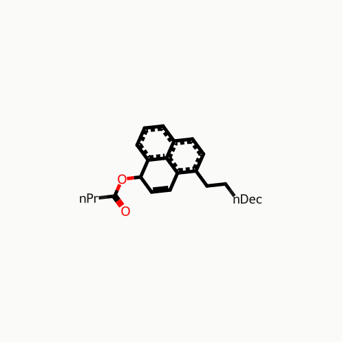 CCCCCCCCCCCCc1ccc2cccc3c2c1C=CC3OC(=O)CCC